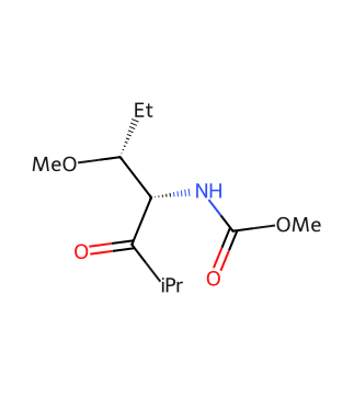 CC[C@@H](OC)[C@H](NC(=O)OC)C(=O)C(C)C